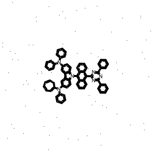 C1=CC=C(N(c2ccccc2)c2ccc3c(c2)c2cc(N(c4ccccc4)c4ccccc4)ccc2n3-c2c3ccccc3c(-c3nc(-c4ccccc4)nc(-c4ccccc4)n3)c3ccccc23)CC=C1